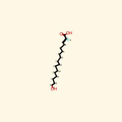 O=C(O)C(F)=CCCCCCCCCCCCCCCO